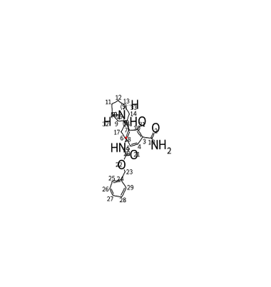 NC(=O)c1cccc([C@H]2C[C@H]3CC[C@@H](C2)N3CCCNC(=O)OCc2ccccc2)c1O